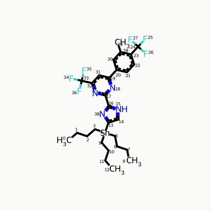 CCC[CH2][Sn]([CH2]CCC)([CH2]CCC)[c]1c[nH]c(-c2nc(-c3ccc(C(F)(F)F)c(C)c3)cc(C(F)(F)F)n2)n1